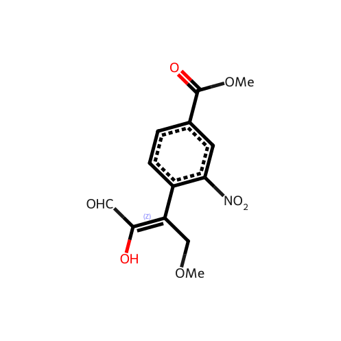 COC/C(=C(\O)C=O)c1ccc(C(=O)OC)cc1[N+](=O)[O-]